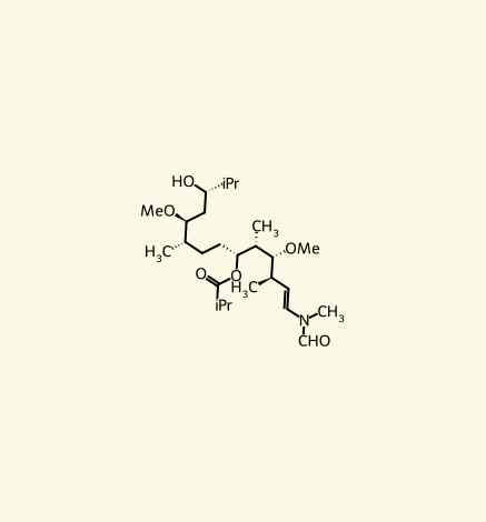 CO[C@@H]([C@@H](C)[C@@H](CC[C@H](C)[C@H](C[C@H](O)C(C)C)OC)OC(=O)C(C)C)[C@H](C)/C=C/N(C)C=O